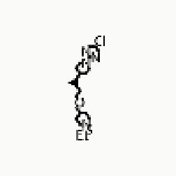 CCSN1CCC(COCCC2CC2C2CCN(c3ncc(Cl)cn3)CC2)CC1